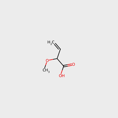 C=CC(OC)C(=O)O